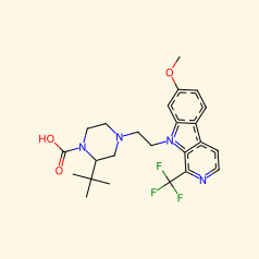 COc1ccc2c3ccnc(C(F)(F)F)c3n(CCN3CCN(C(=O)O)C(C(C)(C)C)C3)c2c1